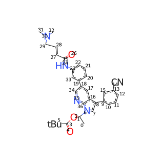 CC(OC(=O)C(C)(C)C)n1cc(-c2cccc(C#N)c2)c2cc(-c3cccc(NC(=O)C=CCN(C)C)c3)cnc21